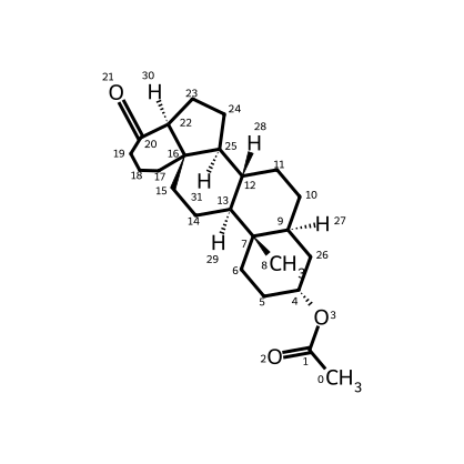 CC(=O)O[C@@H]1CC[C@@]2(C)[C@@H](CC[C@@H]3[C@@H]2CC[C@@]24CCCC(=O)[C@H]2CC[C@@H]34)C1